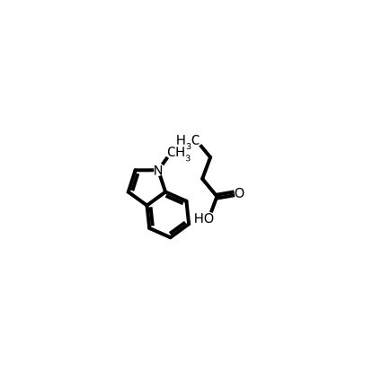 CCCC(=O)O.Cn1ccc2ccccc21